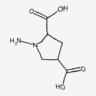 NN1CC(C(=O)O)CC1C(=O)O